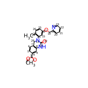 COC(=O)c1ccc2c(c1)NC(=O)N(c1cc(OCc3ccccn3)ccc1C)C2